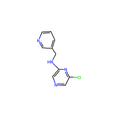 Clc1cncc(NCc2cccnc2)n1